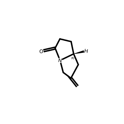 C=C1C[C@H]2CCC(=O)N2C1